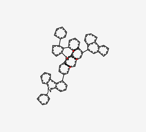 c1ccc(-c2ccccc2-c2c(-c3ccccc3)cccc2N(c2ccc(-c3cc4ccccc4c4ccccc34)cc2)c2ccc(-c3cccc4c3c3ccccc3n4-c3ccccc3)cc2)cc1